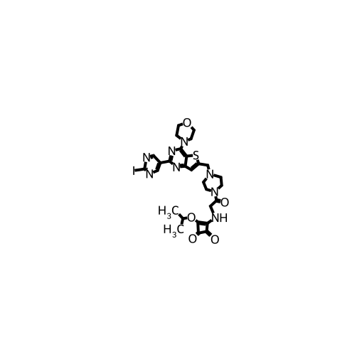 CC(C)Oc1c(NCC(=O)N2CCN(Cc3cc4nc(-c5cnc(I)nc5)nc(N5CCOCC5)c4s3)CC2)c(=O)c1=O